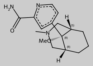 CO[C@@]1(c2ccnc(C(N)=O)c2)[C@@H]2CCC[C@H]1CN(C)C2